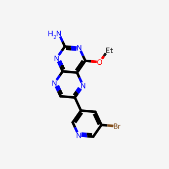 CCOc1nc(N)nc2ncc(-c3cncc(Br)c3)nc12